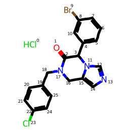 Cl.O=C1C(c2cccc(Br)c2)n2cncc2CN1Cc1ccc(Cl)cc1